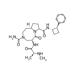 CN[C@@H](C)C(=O)N[C@H]1CN(C(N)=O)CC[C@H]2CCC(C(=O)N[C@H]3CC[C@@H]3c3ccccc3)N2C1=O